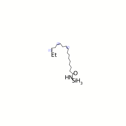 CC/C=C\C/C=C\C/C=C\CCCCCCCC(=O)N[SiH3]